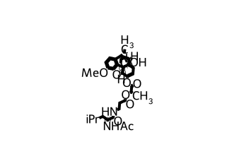 COc1ccc2c3c1O[C@H]1C(OC(=O)C(C)OC(=O)CCNC(=O)[C@H](CC(C)C)NC(C)=O)=CC[C@@]4(O)[C@@H](C2)N(C)CC[C@]314